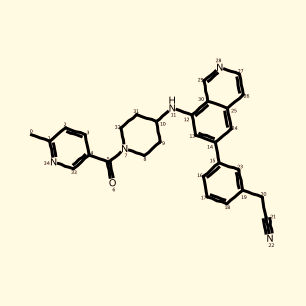 Cc1ccc(C(=O)N2CCC(Nc3cc(-c4cccc(CC#N)c4)cc4ccncc34)CC2)cn1